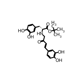 CC(C)(C)OC(=O)[C@@H](Cc1ccc(O)c(O)c1)NCC(=O)C=Cc1ccc(O)c(O)c1